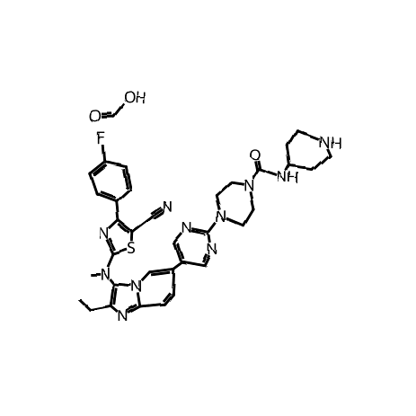 CCc1nc2ccc(-c3cnc(N4CCN(C(=O)NC5CCNCC5)CC4)nc3)cn2c1N(C)c1nc(-c2ccc(F)cc2)c(C#N)s1.O=CO